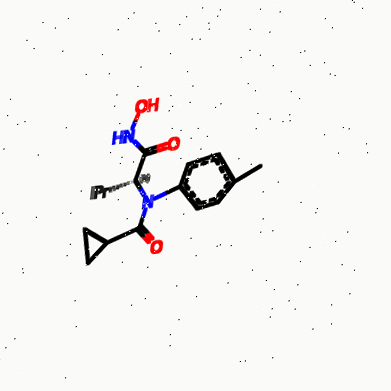 Cc1ccc(N(C(=O)C2CC2)[C@@H](C(=O)NO)C(C)C)cc1